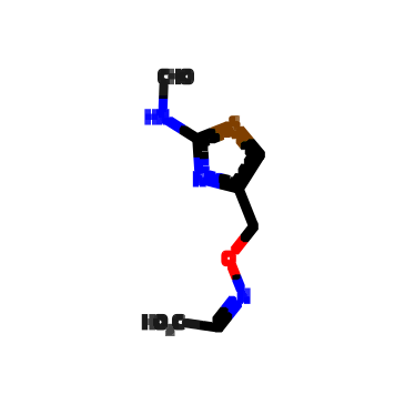 O=CNc1nc(CO/N=C\C(=O)O)cs1